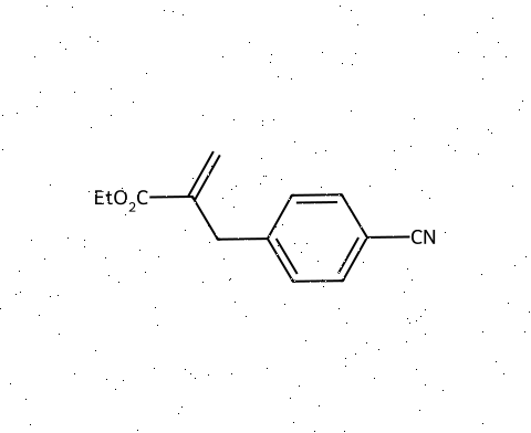 C=C(Cc1ccc(C#N)cc1)C(=O)OCC